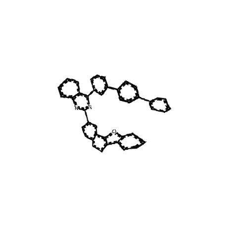 c1ccc(-c2ccc(-c3cccc(-c4nc(-c5ccc6ccc7c8ccccc8oc7c6c5)nc5ccccc45)c3)cc2)cc1